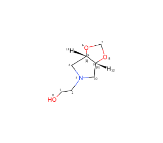 OCCN1C[C@@H]2OCO[C@@H]2C1